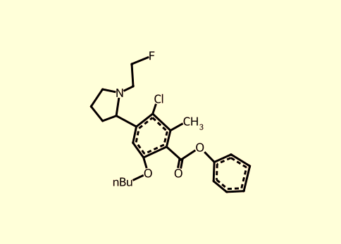 CCCCOc1cc(C2CCCN2CCF)c(Cl)c(C)c1C(=O)Oc1ccccc1